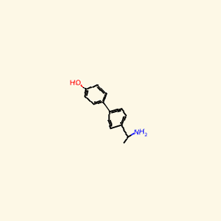 CC(N)c1ccc(-c2ccc(O)cc2)cc1